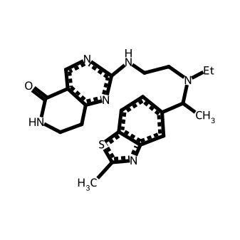 CCN(CCNc1ncc2c(n1)CCNC2=O)C(C)c1ccc2sc(C)nc2c1